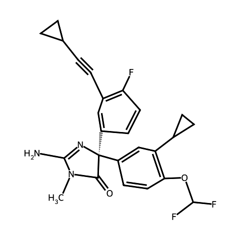 CN1C(=O)[C@](c2ccc(F)c(C#CC3CC3)c2)(c2ccc(OC(F)F)c(C3CC3)c2)N=C1N